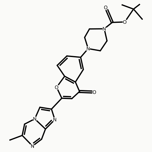 Cc1cn2cc(-c3cc(=O)c4cc(N5CCN(C(=O)OC(C)(C)C)CC5)ccc4o3)nc2cn1